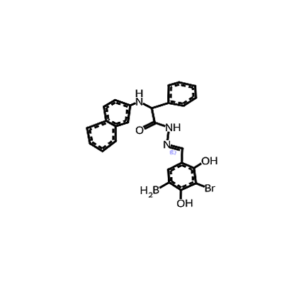 Bc1cc(/C=N/NC(=O)C(Nc2ccc3ccccc3c2)c2ccccc2)c(O)c(Br)c1O